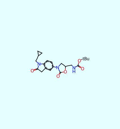 CC(C)(C)OC(=O)NCC1CN(c2ccc3c(c2)CC(=O)N3CC2CC2)C(=O)O1